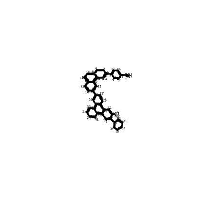 N#Cc1ccc(-c2ccc3ccc4ccc(-c5ccc6c(c5)c5ccccc5c5cc7c(cc65)oc5ccccc57)cc4c3c2)cc1